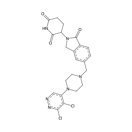 O=C1CCC(N2Cc3cc(CN4CCN(c5cnnc(Cl)c5Cl)CC4)ccc3C2=O)C(=O)N1